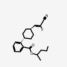 CCCC(C)OC(=O)c1ccccc1[C@H]1CC[C@H](C=C(F)C#N)CC1